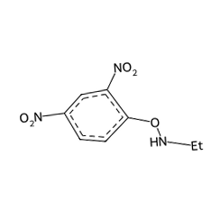 CCNOc1ccc([N+](=O)[O-])cc1[N+](=O)[O-]